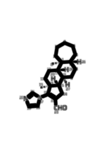 C[C@]12CCCCC[C@@H]1CC[C@@H]1[C@@H]2CC[C@]2(C)C(n3ccnc3)=C(C=O)C[C@@H]12